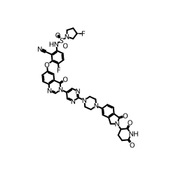 N#Cc1c(NS(=O)(=O)N2CC[C@@H](F)C2)ccc(F)c1Oc1ccc2ncn(-c3cnc(N4CCN(c5ccc6c(c5)CN(C5CCC(=O)NC5=O)C6=O)CC4)nc3)c(=O)c2c1